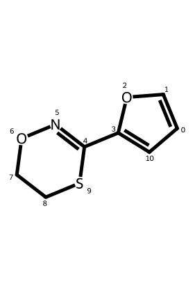 c1coc(C2=NOCCS2)c1